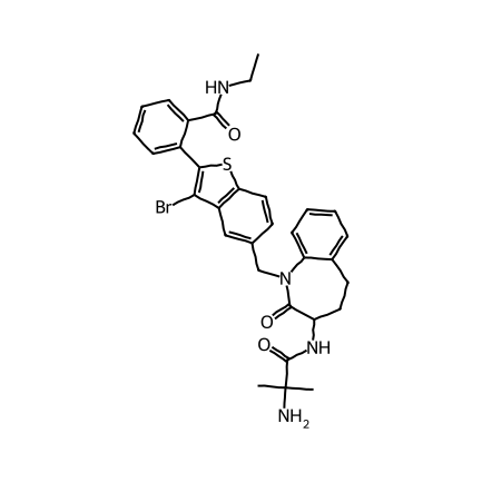 CCNC(=O)c1ccccc1-c1sc2ccc(CN3C(=O)C(NC(=O)C(C)(C)N)CCc4ccccc43)cc2c1Br